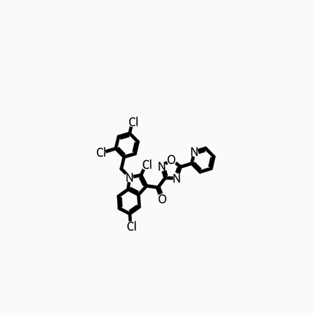 O=C(c1noc(-c2ccccn2)n1)c1c(Cl)n(Cc2ccc(Cl)cc2Cl)c2ccc(Cl)cc12